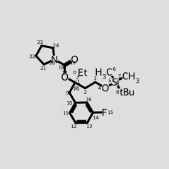 CC[C@](CCO[Si](C)(C)C(C)(C)C)(Cc1cccc(F)c1)OC(=O)N1CCCC1